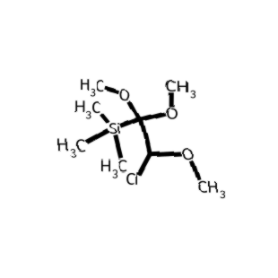 COC(Cl)C(OC)(OC)[Si](C)(C)C